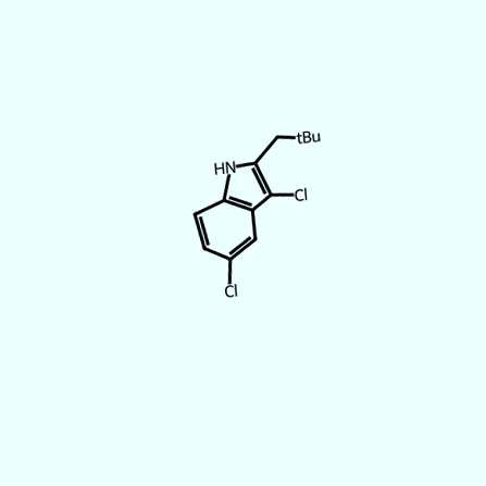 CC(C)(C)Cc1[nH]c2ccc(Cl)cc2c1Cl